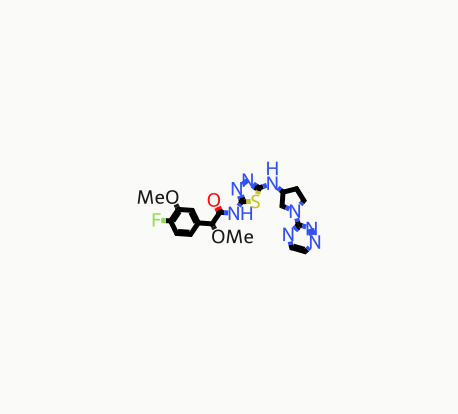 COc1cc(C(OC)C(=O)Nc2nnc(NC3CCN(c4nccnn4)C3)s2)ccc1F